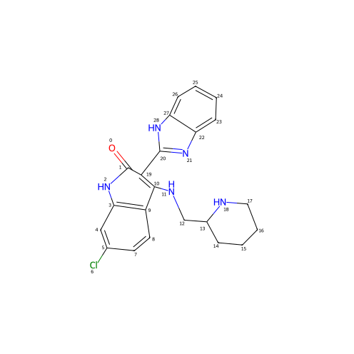 O=c1[nH]c2cc(Cl)ccc2c(NCC2CCCCN2)c1-c1nc2ccccc2[nH]1